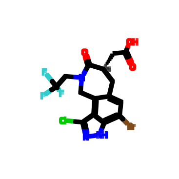 O=C(O)C[C@@H]1Cc2cc(Br)c3[nH]nc(Cl)c3c2CN(CC(F)(F)F)C1=O